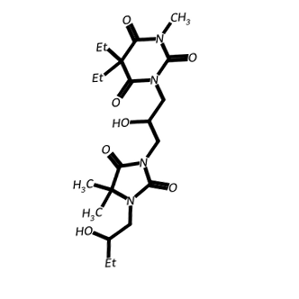 CCC(O)CN1C(=O)N(CC(O)CN2C(=O)N(C)C(=O)C(CC)(CC)C2=O)C(=O)C1(C)C